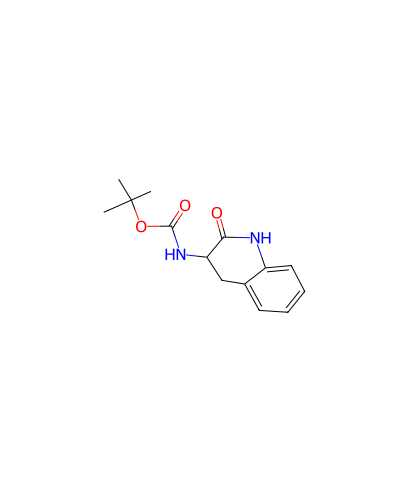 CC(C)(C)OC(=O)NC1Cc2ccccc2NC1=O